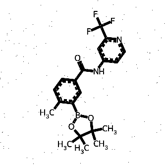 Cc1ccc(C(=O)Nc2ccnc(C(F)(F)F)c2)cc1B1OC(C)(C)C(C)(C)O1